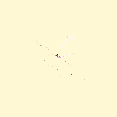 COC1CCC2(CC1)Cc1ccc(C#N)cc1[C@@]21N=C(N)N(C)C1=O